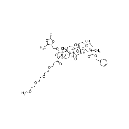 COCCOCCOCCOCCC(=O)O[C@H]1CC[C@@]2(C)[C@@H](CC[C@]3(C)[C@@H]2C(=O)C=C2[C@@H]4C[C@@](C)(C(=O)OCc5ccccc5)CC[C@]4(C)CC[C@]23C)[C@]1(C)C(=O)OCc1oc(=O)oc1C